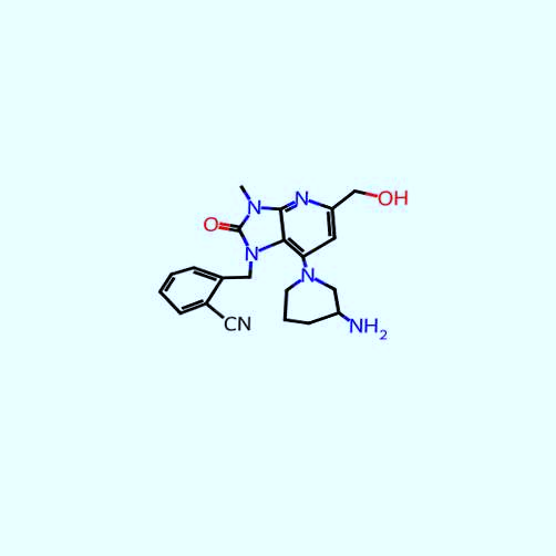 Cn1c(=O)n(Cc2ccccc2C#N)c2c(N3CCCC(N)C3)cc(CO)nc21